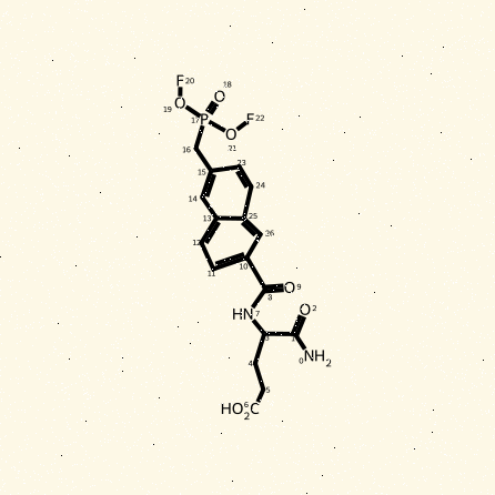 NC(=O)C(CCC(=O)O)NC(=O)c1ccc2cc(CP(=O)(OF)OF)ccc2c1